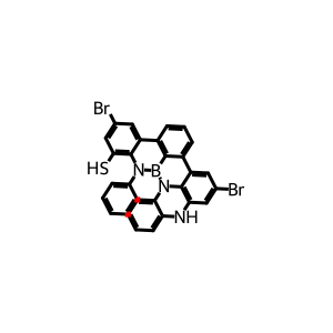 Sc1cc(Br)cc2c1N(c1ccccc1)B1c3c-2cccc3-c2cc(Br)cc3c2N1c1ccccc1N3